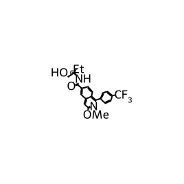 CC[C@H](CO)NC(=O)c1ccc2c(-c3ccc(C(F)(F)F)cc3)nc(OC)cc2c1